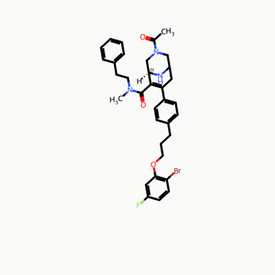 CC(=O)N1CC2CC(c3ccc(CCCOc4cc(F)ccc4Br)cc3)=C(C(=O)N(C)CCc3ccccc3)[C@@H](C1)N2